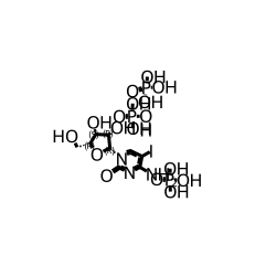 Nc1nc(=O)n([C@@H]2O[C@H](CO)[C@@H](O)[C@H]2O)cc1I.O=P(O)(O)O.O=P(O)(O)O.O=P(O)(O)O